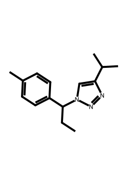 CCC(c1ccc(C)cc1)n1cc(C(C)C)nn1